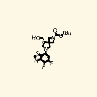 CC(C)(C)OC(=O)N1CC2(C1)CN(c1cc(F)c(F)c3ncsc13)C[C@H]2CO